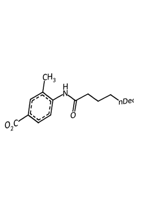 CCCCCCCCCCCCCC(=O)Nc1ccc(C(=O)O)cc1C